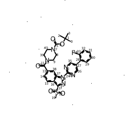 CC(C)(C)OC(=O)N1CCN(C(=O)c2ccc3c(S(C)(=O)=O)nn(-c4ncc(-c5ccccc5F)cn4)c3c2)CC1